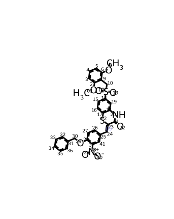 COc1cccc(OC)c1CS(=O)(=O)c1ccc2c(c1)NC(=O)/C(=C/c1ccc(OCc3ccccc3)c([N+](=O)[O-])c1)S2